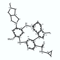 COc1cc(N2CC3CN(C)CC3C2)c(NC=O)cc1Nc1ncc(C(=O)NC2CC2)c(-c2cn(C)c3ccccc23)n1